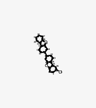 Clc1ccc2oc3cc(-c4ccc5c(c4)oc4ccccc45)ccc3c2c1